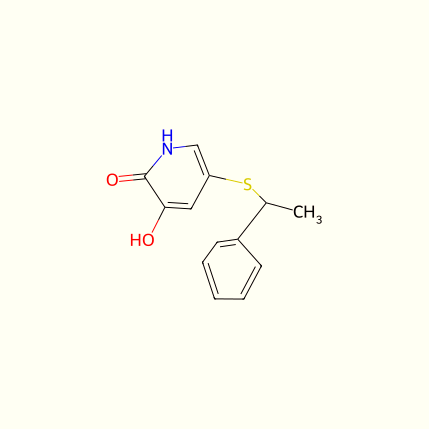 CC(Sc1c[nH]c(=O)c(O)c1)c1ccccc1